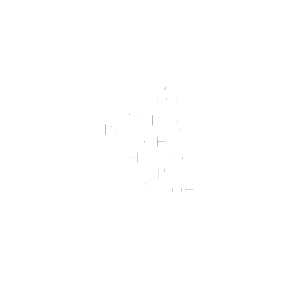 CCCCOP(O)(O)=S.O=P(O)(O)O